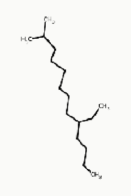 CCCCC([CH]CCCCCC(C)C)CC